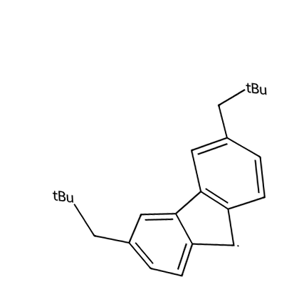 CC(C)(C)Cc1ccc2c(c1)-c1cc(CC(C)(C)C)ccc1[CH]2